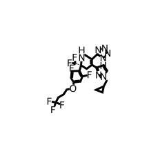 Fc1cc(OCCCC(F)(F)F)ccc1[C@]1(C(F)(F)F)CC(c2ccn(CC3CC3)n2)=C(c2nnn[nH]2)CN1